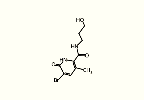 Cc1cc(Br)c(=O)[nH]c1C(=O)NCCCO